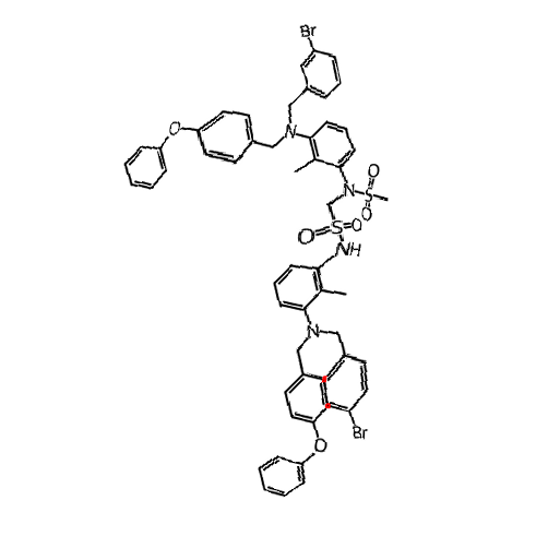 Cc1c(NS(=O)(=O)CN(c2cccc(N(Cc3ccc(Oc4ccccc4)cc3)Cc3cccc(Br)c3)c2C)S(C)(=O)=O)cccc1N(Cc1ccc(Br)cc1)Cc1ccc(Oc2ccccc2)cc1